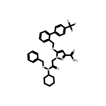 NC(=O)c1cc(OCc2ccccc2-c2ccc(C(F)(F)F)cc2)n(CC(=O)N(OCc2ccccc2)C2CCCCC2)n1